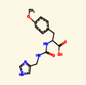 COc1ccc(CC(NC(=O)NCc2c[nH]cn2)C(=O)O)cc1